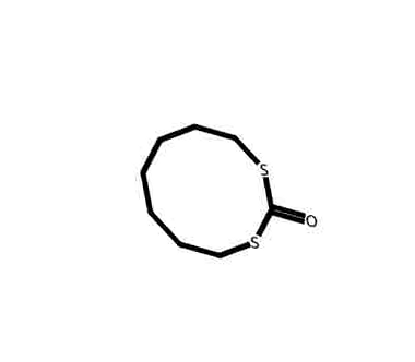 O=C1SCCCCCCCS1